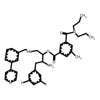 CCCN(CCC)C(=O)c1cc(C)cc(C(=O)OC(CNCc2cccc(-c3ccncc3)c2)C(N)Cc2cc(F)cc(F)c2)c1